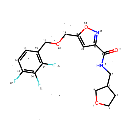 O=C(NCC1CCOC1)c1cc(COCc2ccc(F)c(F)c2F)on1